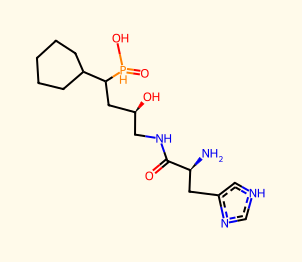 N[C@@H](Cc1c[nH]cn1)C(=O)NC[C@H](O)CC(C1CCCCC1)[PH](=O)O